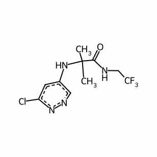 CC(C)(Nc1cnnc(Cl)c1)C(=O)NCC(F)(F)F